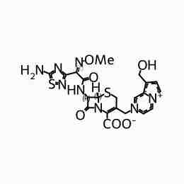 CO/N=C(\C(=O)N[C@@H]1C(=O)N2C(C(=O)[O-])=C(Cn3cc[n+]4ccc(CO)c-4c3)CS[C@@H]12)c1nsc(N)n1